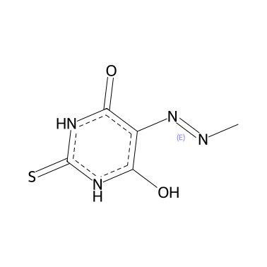 C/N=N/c1c(O)[nH]c(=S)[nH]c1=O